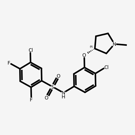 CN1CC[C@@H](Oc2cc(NS(=O)(=O)c3cc(Cl)c(F)cc3F)ccc2Cl)C1